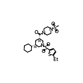 CCc1ccc(S(=O)(=O)N2C[C@@H](C(=O)N3CCN(S(C)(=O)=O)CC3)C[C@@H](C3CCCCC3)C2)s1